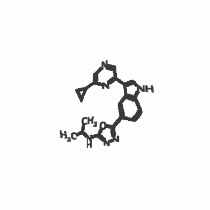 CC(C)Nc1nnc(-c2ccc3[nH]cc(-c4cncc(C5CC5)n4)c3c2)o1